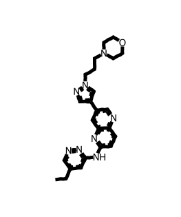 CCc1cnnc(Nc2ccc3ncc(-c4cnn(CCCN5CCOCC5)c4)cc3n2)c1